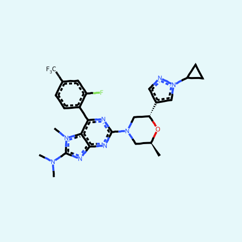 C[C@H]1CN(c2nc(-c3ccc(C(F)(F)F)cc3F)c3c(n2)nc(N(C)C)n3C)C[C@H](c2cnn(C3CC3)c2)O1